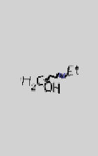 [CH2]C(O)CC/C=C/CC